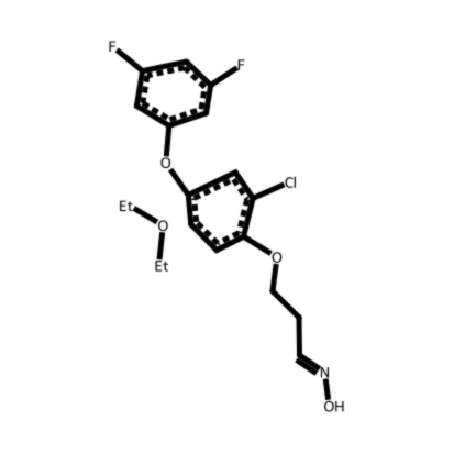 CCOCC.ON=CCCOc1ccc(Oc2cc(F)cc(F)c2)cc1Cl